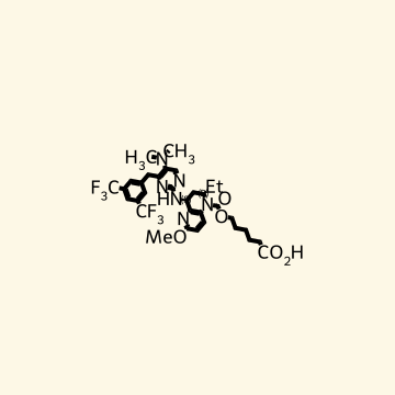 CC[C@@H]1C[C@H](Nc2ncc(N(C)C)c(Cc3cc(C(F)(F)F)cc(C(F)(F)F)c3)n2)c2nc(OC)ccc2N1C(=O)OCCCCCC(=O)O